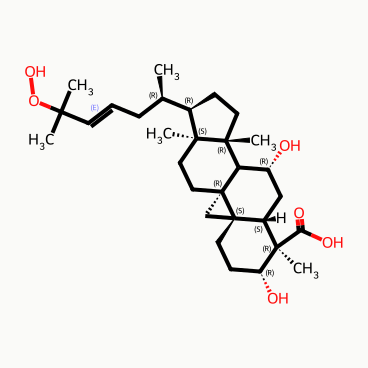 C[C@H](C/C=C/C(C)(C)OO)[C@H]1CC[C@]2(C)C3[C@H](O)C[C@@H]4[C@@](C)(C(=O)O)[C@H](O)CC[C@]45C[C@]35CC[C@@]12C